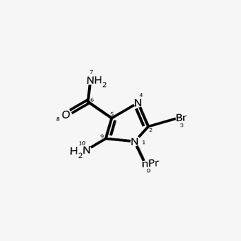 CCCn1c(Br)nc(C(N)=O)c1N